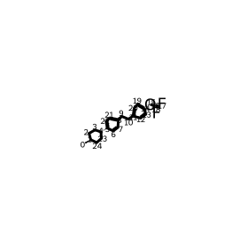 C[C@H]1CC[C@H](c2ccc(CCc3ccc(OC(F)F)cc3)cc2)CC1